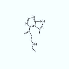 C=C(CCNCC)c1ncnc2[nH]cc(C)c12